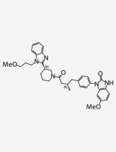 COCCCn1c([C@@H]2CCCN(C(=O)C[C@H](C)Cc3ccc(-n4c(=O)[nH]c5ccc(OC)cc54)cc3)C2)nc2ccccc21